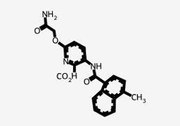 Cc1ccc(C(=O)Nc2ccc(OCC(N)=O)nc2C(=O)O)c2ccccc12